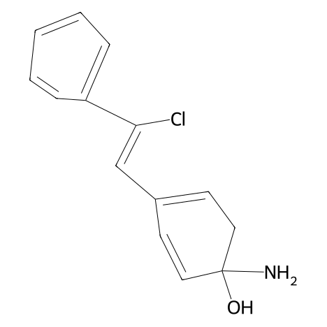 NC1(O)C=CC(C=C(Cl)c2ccccc2)=CC1